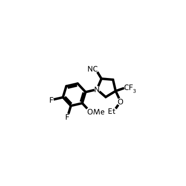 CCOC1(C(F)(F)F)CC(C#N)N(c2ccc(F)c(F)c2OC)C1